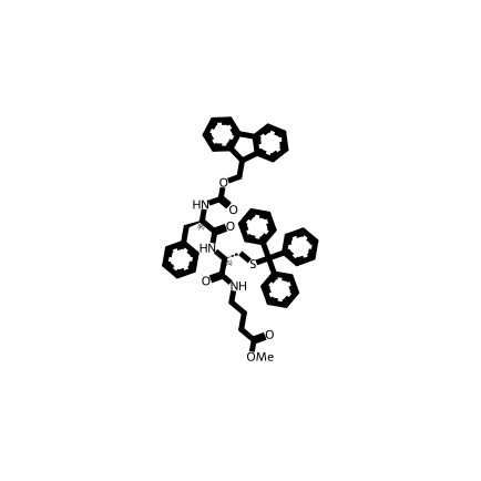 COC(=O)CCCNC(=O)[C@@H](CSC(c1ccccc1)(c1ccccc1)c1ccccc1)NC(=O)[C@@H](Cc1ccccc1)NC(=O)OCC1c2ccccc2-c2ccccc21